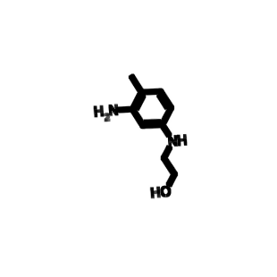 Cc1ccc(NCCO)cc1N